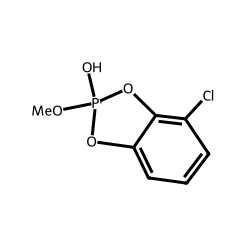 CO[P]1(O)Oc2cccc(Cl)c2O1